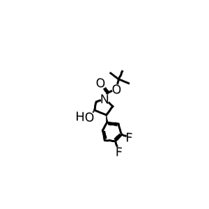 CC(C)(C)OC(=O)N1C[C@@H](O)[C@H](c2ccc(F)c(F)c2)C1